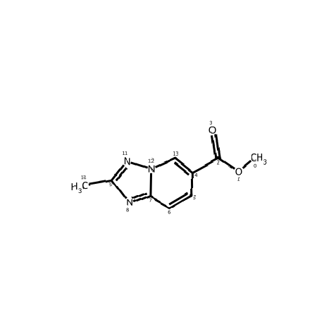 COC(=O)c1ccc2nc(C)nn2c1